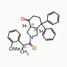 COc1ccccc1[C@H](C)C(=O)N1C[C@H]2C(=O)CCC(c3ccccc3)(c3ccccc3)[C@H]2C1